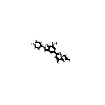 Cc1cn2nc(-c3cc(O)c4nn(C5CCNCC5)cc4c3)cc(C)c2n1